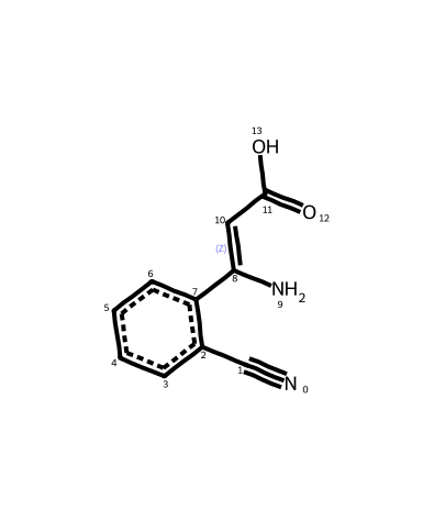 N#Cc1ccccc1/C(N)=C/C(=O)O